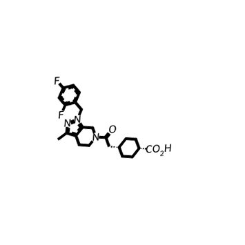 Cc1nn(Cc2ccc(F)cc2F)c2c1CCN(C(=O)C[C@H]1CC[C@@H](C(=O)O)CC1)C2